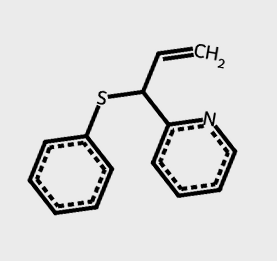 C=CC(Sc1ccccc1)c1ccccn1